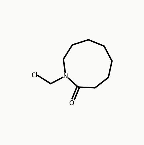 O=C1CCCCCCCN1CCl